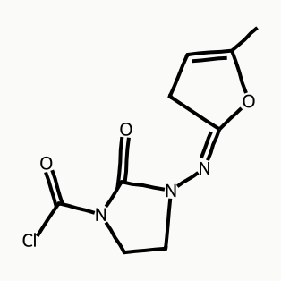 CC1=CCC(=NN2CCN(C(=O)Cl)C2=O)O1